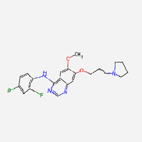 COc1cc2c(Nc3ccc(Br)cc3F)ncnc2cc1OCCCN1CCCC1